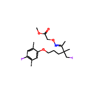 COC(=O)CON=C(C)C(C)(CI)CCCOc1cc(C)c(I)cc1C